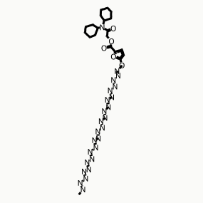 CN=NN=NN=NN=NN=NN=NN=NN=NN=NN=NN=NN=NOc1ccc(C(=O)OCC(=O)N(C2CCCCC2)C2CCCCC2)o1